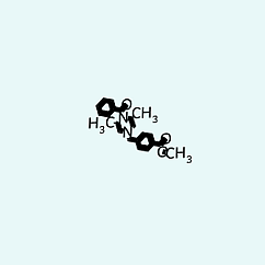 COC(=O)c1ccc(CN2C[C@@H](C)N(C(=O)c3ccccc3)[C@@H](C)C2)cc1